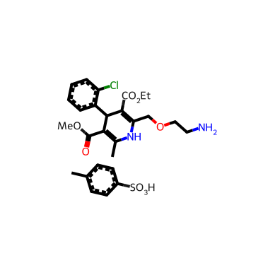 CCOC(=O)C1=C(COCCN)NC(C)=C(C(=O)OC)C1c1ccccc1Cl.Cc1ccc(S(=O)(=O)O)cc1